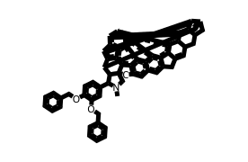 CN1CC23Cc4cc5cc6c7c8c9c%10c%11c%12c%13c(c%14c2c4c2c5c7c%10c2c%14%12)C(C=C2CC4CC(C=C8C6)C9C=%11C4C=%132)C3C1c1ccc(OCc2ccccc2)c(OCc2ccccc2)c1